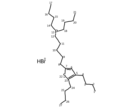 Br.CCCCc1cc(CCCCCP(CCCC)CCCC)sc1CCCC